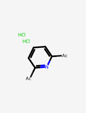 CC(=O)c1cccc(C(C)=O)n1.Cl.Cl